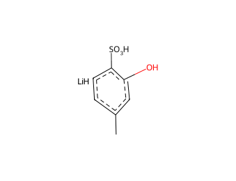 Cc1ccc(S(=O)(=O)O)c(O)c1.[LiH]